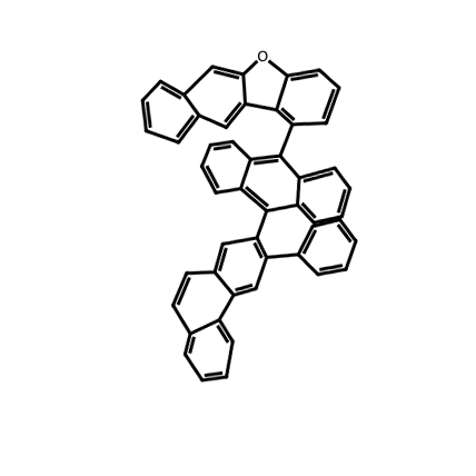 c1ccc(-c2cc3c(ccc4ccccc43)cc2-c2c3ccccc3c(-c3cccc4oc5cc6ccccc6cc5c34)c3ccccc23)cc1